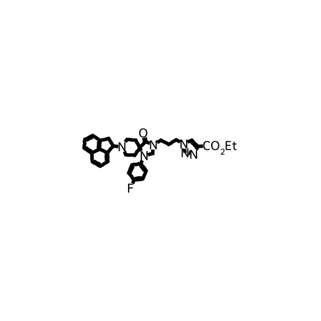 CCOC(=O)c1cn(CCCN2CN(c3ccc(F)cc3)C3(CCN(C4Cc5cccc6cccc4c56)CC3)C2=O)nn1